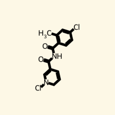 Cc1cc(Cl)ccc1C(=O)NC(=O)C1=CN(Cl)CC=C1